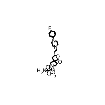 CC(C)(N)C(=O)N1CCC2(CC1)C[C@H](CCN1CCN(c3ccc(F)cc3)CC1)OC2=O